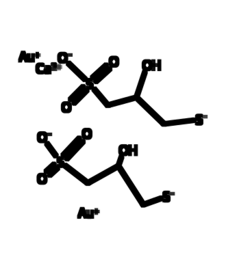 O=S(=O)([O-])CC(O)C[S-].O=S(=O)([O-])CC(O)C[S-].[Au+].[Au+].[Ca+2]